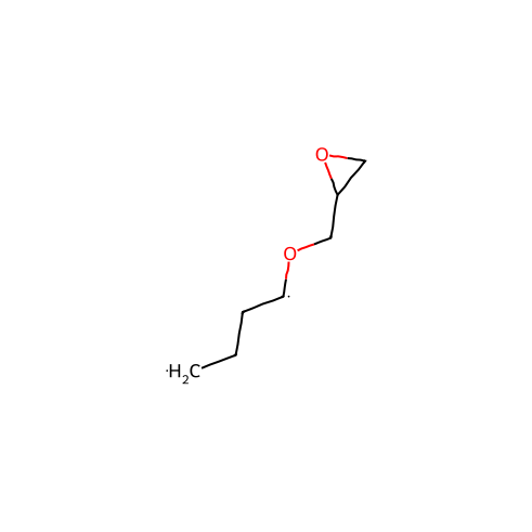 [CH2]CC[CH]OCC1CO1